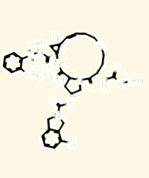 Cc1ccccc1S(=O)(=O)NC(=O)[C@@]12C[C@H]1C=CCCOCC[C@H](NC(=O)OC(C)(C)C)C(=O)N1C[C@H](OC(=O)N3Cc4cccc(Cl)c4C3)C[C@H]1C(=O)N2